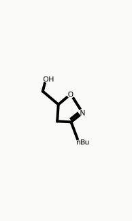 CCCCC1=NOC(CO)C1